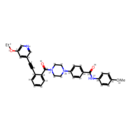 CCOc1cncc(C#Cc2ccccc2C(=O)N2CCN(c3ccc(C(=O)Nc4ccc(OC)cc4)cc3)CC2)c1